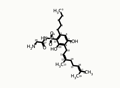 CCCCCc1cc(O)c(CC=C(C)CCC=C(C)C)c(O)c1S(=O)(=O)NC(=O)CN